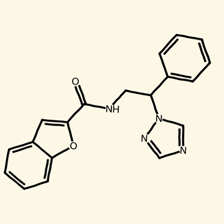 O=C(NCC(c1ccccc1)n1cncn1)c1cc2ccccc2o1